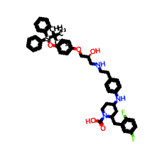 CC(C)(C)[Si](Oc1ccc(OC[C@@H](O)CNCCc2ccc(NC3CCN(C(=O)O)C(Cc4cc(F)ccc4F)C3)cc2)cc1)(c1ccccc1)c1ccccc1